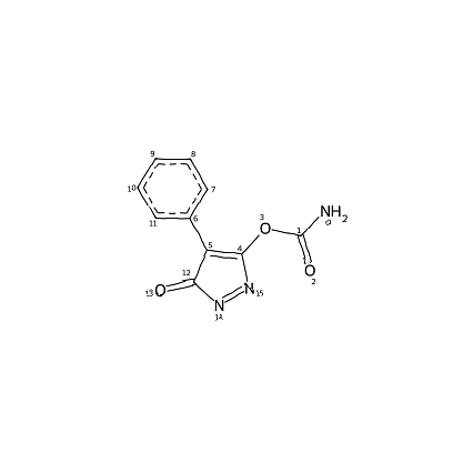 NC(=O)OC1=C(c2ccccc2)C(=O)N=N1